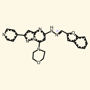 C(=N\Nc1cc(N2CCOCC2)n2nc(-c3ccncc3)cc2n1)/c1cc2ccccc2o1